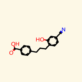 N#Cc1ccc(CCCc2ccc(C(=O)O)cc2)c(O)c1